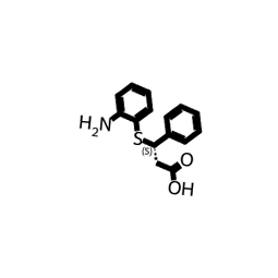 Nc1ccccc1S[C@@H](CC(=O)O)c1ccccc1